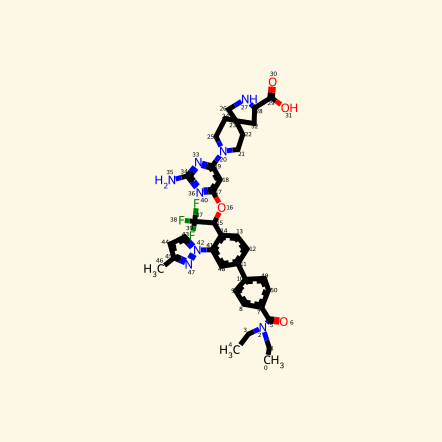 CCN(CC)C(=O)c1ccc(-c2ccc(C(Oc3cc(N4CCC5(CC4)CNC(C(=O)O)C5)nc(N)n3)C(F)(F)F)c(-n3ccc(C)n3)c2)cc1